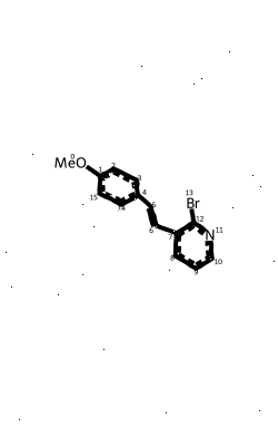 COc1ccc(/C=C/c2cccnc2Br)cc1